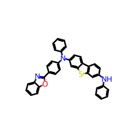 c1ccc(Nc2ccc3c(c2)sc2cc(N(c4ccccc4)c4ccc(-c5nc6ccccc6o5)cc4)ccc23)cc1